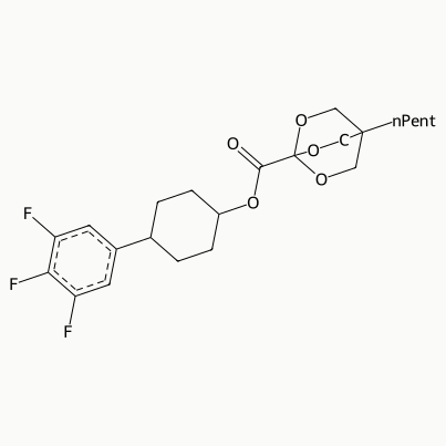 CCCCCC12COC(C(=O)OC3CCC(c4cc(F)c(F)c(F)c4)CC3)(OC1)OC2